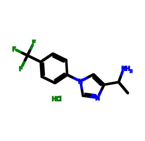 CC(N)c1cn(-c2ccc(C(F)(F)F)cc2)cn1.Cl